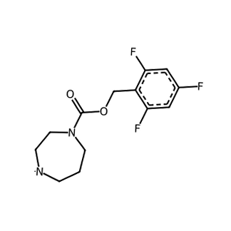 O=C(OCc1c(F)cc(F)cc1F)N1CCC[N]CC1